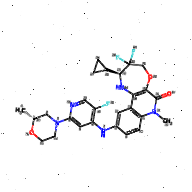 C[C@@H]1CN(c2cc(Nc3ccc4c(c3)c3c(c(=O)n4C)OCC(F)(F)[C@H](C4CC4)N3)c(F)cn2)CCO1